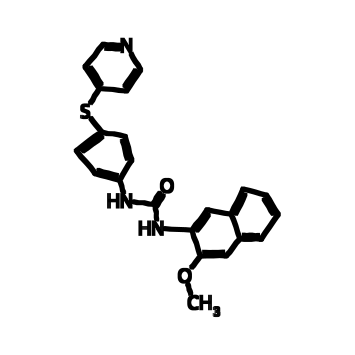 COc1cc2ccccc2cc1NC(=O)Nc1ccc(Sc2ccncc2)cc1